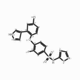 O=S(=O)(Nc1ncns1)c1ccc(Oc2ccc(Cl)cc2-c2cn[nH]c2)c(F)c1